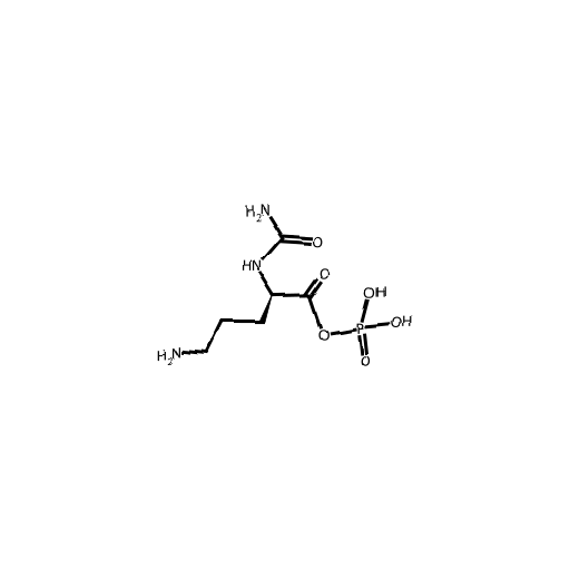 NCCC[C@@H](NC(N)=O)C(=O)OP(=O)(O)O